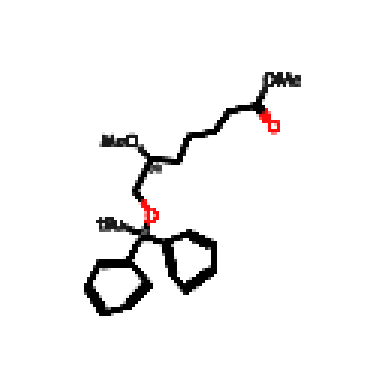 COC(=O)CCCC[C@@H](CO[Si](c1ccccc1)(c1ccccc1)C(C)(C)C)OC